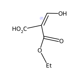 CCOC(=O)/C(=C\O)C(=O)O